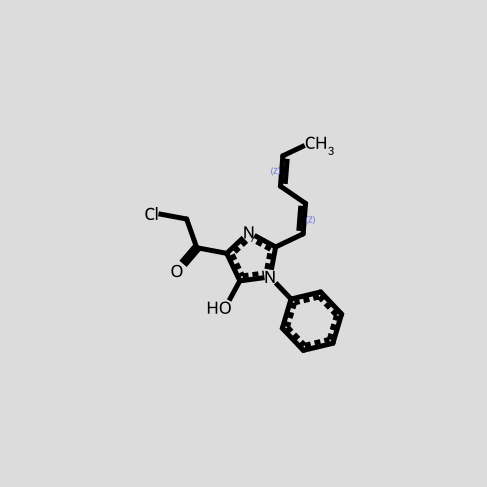 C/C=C\C=C/c1nc(C(=O)CCl)c(O)n1-c1ccccc1